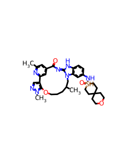 Cc1cc2cc(n1)-c1cnn(C)c1OCCCC(C)CN1/C(=N/C2=O)Nc2ccc(N[SH]3(=O)CCC4(CCOCC4)CC3)cc21